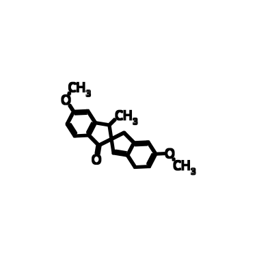 COC1=CCC2=CC3(CC2=C1)C(=O)c1ccc(OC)cc1C3C